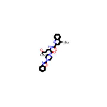 COC(=O)CCC(NC(=O)c1cc(OC)c2ccccc2n1)C(=O)N1CCN(c2nc3ccccc3o2)CC1